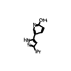 CC(C)c1cc(-c2ccc(O)nc2)[nH]n1